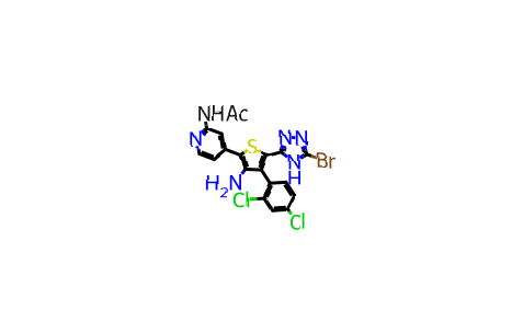 CC(=O)Nc1cc(-c2sc(-c3nnc(Br)[nH]3)c(-c3ccc(Cl)cc3Cl)c2N)ccn1